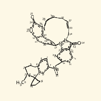 CN1CCc2ccc(Nc3ncc4c(=O)n5n(c4n3)-c3ccc4oc(=O)n(c4c3)CCC/C=C\C5)cc2C12CC2